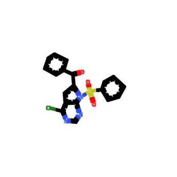 O=C(c1ccccc1)c1cc2c(Cl)ncnc2n1S(=O)(=O)c1ccccc1